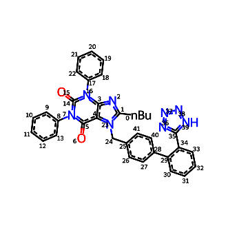 CCCCc1nc2c(c(=O)n(-c3ccccc3)c(=O)n2-c2ccccc2)n1Cc1ccc(-c2ccccc2-c2nnn[nH]2)cc1